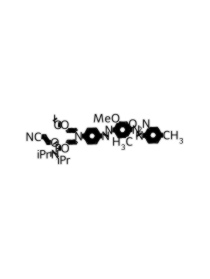 COc1cc(/N=N/c2ccc(C)cc2[N+](=O)[O-])c(C)cc1/N=N/c1ccc(N(CCOOI)CCOP(OCCC#N)N(C(C)C)C(C)C)cc1